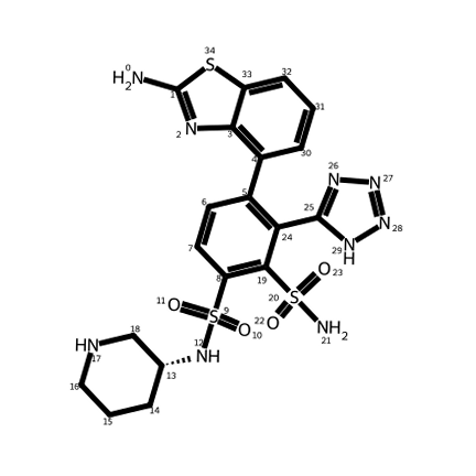 Nc1nc2c(-c3ccc(S(=O)(=O)N[C@@H]4CCCNC4)c(S(N)(=O)=O)c3-c3nnn[nH]3)cccc2s1